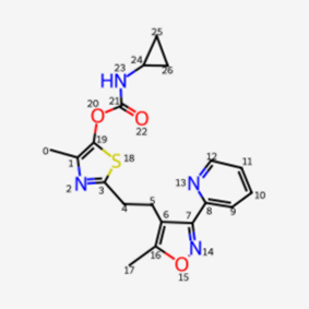 Cc1nc(CCc2c(-c3ccccn3)noc2C)sc1OC(=O)NC1CC1